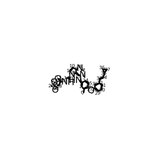 Cc1cc(Nc2ncnc3ccn(CCNC(=O)CS(C)(=O)=O)c23)ccc1Oc1cccc(/C=C/C2CC2)c1